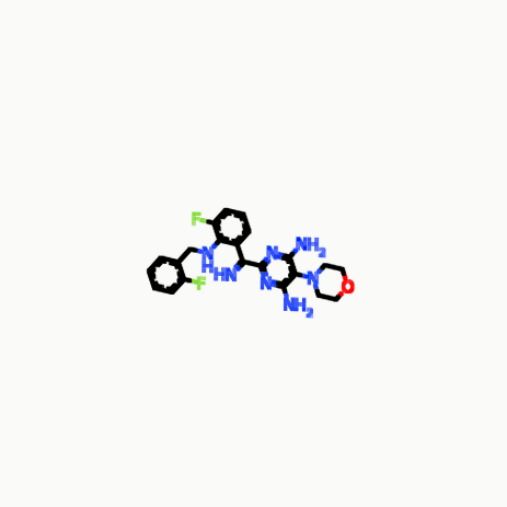 N=C(c1nc(N)c(N2CCOCC2)c(N)n1)c1cccc(F)c1NCc1ccccc1F